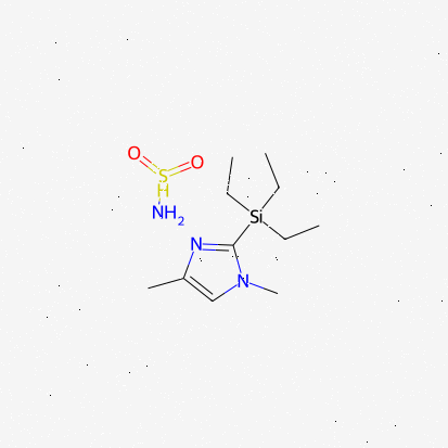 CC[Si](CC)(CC)c1nc(C)cn1C.N[SH](=O)=O